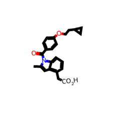 Cc1cc2c(CC(=O)O)cccc2n1C(=O)c1ccc(OCCC2CC2)cc1